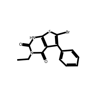 CCn1c(=O)[nH]c2sc(Br)c(-c3ccccc3)c2c1=O